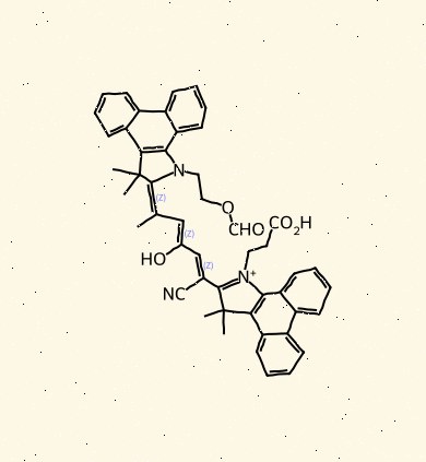 CC(/C=C(O)/C=C(\C#N)C1=[N+](CCC(=O)O)c2c(c3ccccc3c3ccccc23)C1(C)C)=C1/N(CCOC=O)c2c(c3ccccc3c3ccccc23)C1(C)C